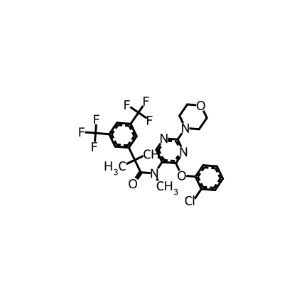 CN(C(=O)C(C)(C)c1cc(C(F)(F)F)cc(C(F)(F)F)c1)c1cnc(N2CCOCC2)nc1Oc1ccccc1Cl